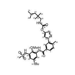 COc1c(NC(=O)c2ccc(C)c(-n3cc(OC(=O)NCC(C)(C)CN(C)C)nn3)c2)cc(C(C)(C)C)cc1NS(C)(=O)=O